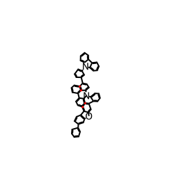 c1ccc(-c2ccc3c(c2)oc2cc(-c4ccccc4N(c4ccc(-c5cccc(-n6c7ccccc7c7ccccc76)c5)cc4)c4ccccc4-c4ccccc4)ccc23)cc1